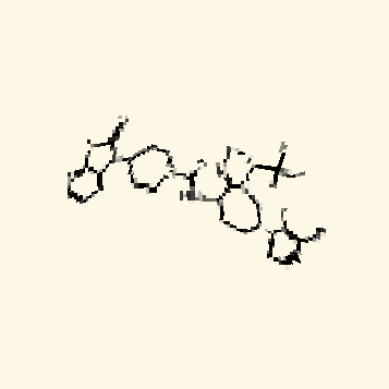 C/N=C1/[C@H](NC(=O)N2CCC(n3c(=O)[nH]c4ncccc43)CC2)CC[C@@H](c2cccc(F)c2F)CN1CC(F)(F)F